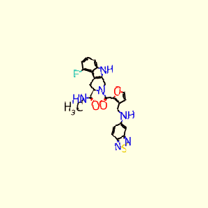 CNC(=O)[C@H]1Cc2c([nH]c3cccc(F)c23)CN1C(=O)c1occc1CNc1ccc2nsnc2c1